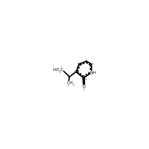 CC(C(=O)O)c1ccc[nH]c1=O